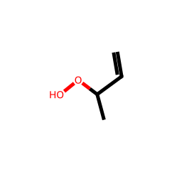 C=CC(C)OO